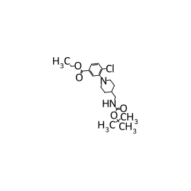 CCOC(=O)c1ccc(Cl)c(N2CCC(CNC(=O)OC(C)(C)C)CC2)c1